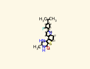 CC(C)c1ccc(-c2ccc3c(ccc4sc5c(c43)NC[C@@H](C)NC5=O)n2)c(F)c1